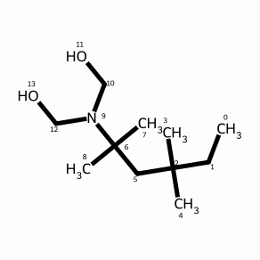 CCC(C)(C)CC(C)(C)N(CO)CO